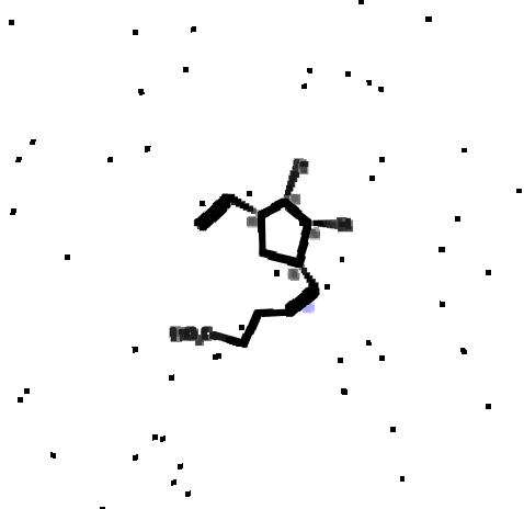 C=C[C@H]1C[C@@H](/C=C\CCC(=O)OCC)[C@@H](CC)[C@H]1CC